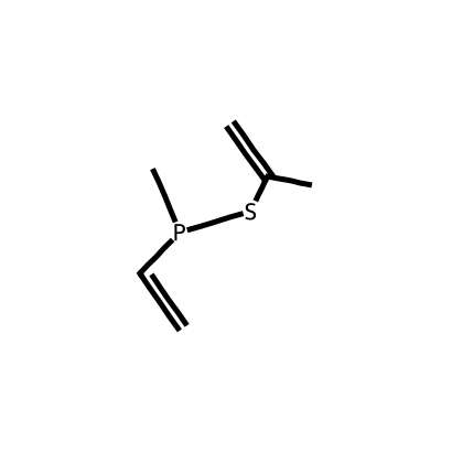 C=CP(C)SC(=C)C